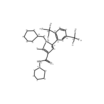 Cc1c(C(=O)NN2CCCCC2)cc(-c2cc(C(F)(F)F)ccc2C(F)(F)F)n1CC1CCCCC1